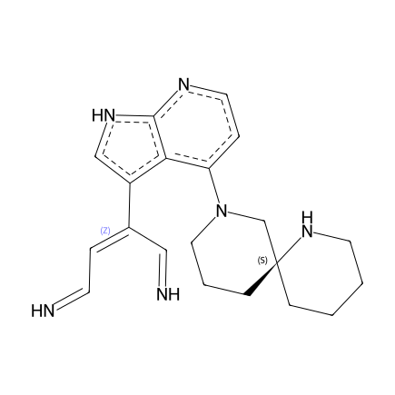 N=C/C=C(\C=N)c1c[nH]c2nccc(N3CCC[C@@]4(CCCCN4)C3)c12